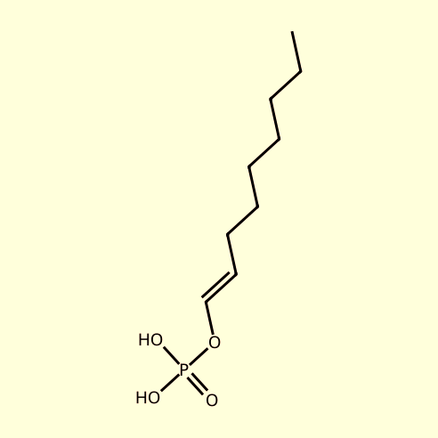 CCCCCCCC=COP(=O)(O)O